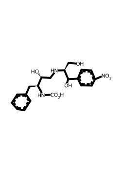 O=C(O)N[C@@H](Cc1ccccc1)[C@H](O)CN[C@@H](CO)C(O)c1ccc([N+](=O)[O-])cc1